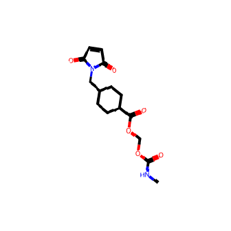 CNC(=O)OCOC(=O)C1CCC(CN2C(=O)C=CC2=O)CC1